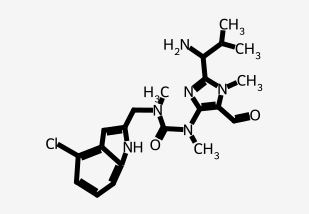 CC(C)C(N)c1nc(N(C)C(=O)N(C)Cc2cc3c(Cl)cccc3[nH]2)c(C=O)n1C